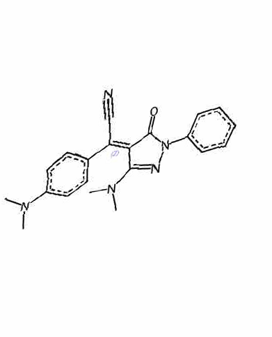 CN(C)C1=NN(c2ccccc2)C(=O)/C1=C(\C#N)c1ccc(N(C)C)cc1